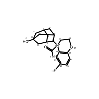 NC(=O)[N+]1(C2C3CC4CC2CC(O)(C4)C3)CCOc2ccc(F)cc21